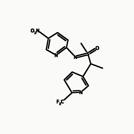 CC(c1ccc(C(F)(F)F)nc1)S(C)(=O)=Nc1ccc([N+](=O)[O-])cn1